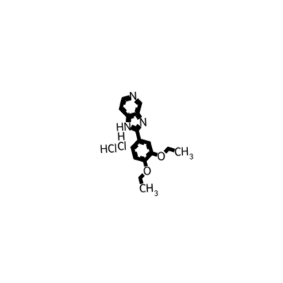 CCOc1ccc(-c2nc3cnccc3[nH]2)cc1OCC.Cl.Cl